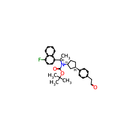 C[C@H](c1ccc(F)c2ccccc12)N(C(=O)OC(C)(C)C)[C@H]1CC[C@@H](c2ccc(CC=O)cc2)C1